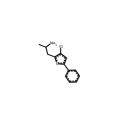 CC(N)Cc1sc(-c2ccccc2)cc1Cl